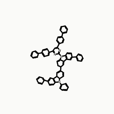 C1=CC2C(C=C1C1C=c3c(n(-c4nc(-c5ccc(-c6ccccc6)cc5)cc(-c5ccc(-c6ccccc6)cc5)n4)c4ccc(-c5ccccc5)cc34)=CC1)c1cc(-c3ccccc3)ccc1N2c1ccccc1